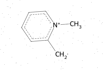 [CH2]c1cccc[n+]1C